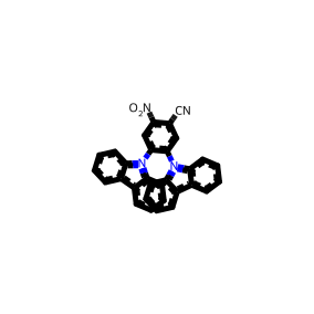 N#Cc1cc(-n2c3ccccc3c3ccccc32)c(-n2c3ccccc3c3ccccc32)cc1[N+](=O)[O-]